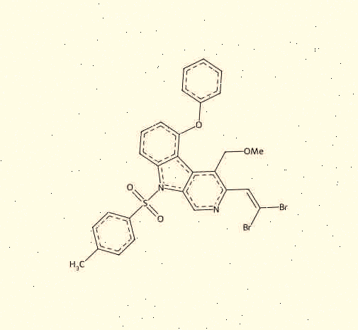 COCc1c(C=C(Br)Br)ncc2c1c1c(Oc3ccccc3)cccc1n2S(=O)(=O)c1ccc(C)cc1